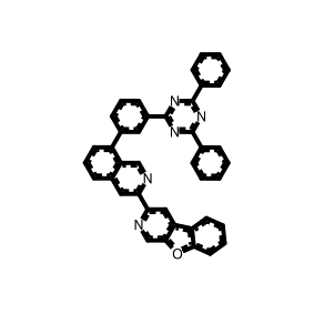 c1ccc(-c2nc(-c3ccccc3)nc(-c3cccc(-c4cccc5cc(-c6cc7c(cn6)oc6ccccc67)ncc45)c3)n2)cc1